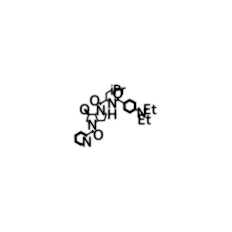 CCN(CC)c1ccc(C(=O)NC(CC(C)C)C(=O)N2CCC3C2C(=O)CN3C(=O)c2ccccn2)cc1